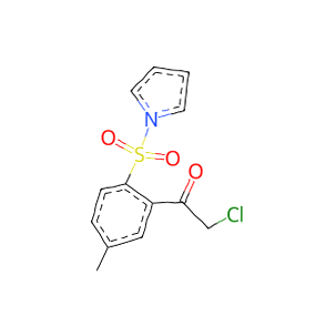 Cc1ccc(S(=O)(=O)n2cccc2)c(C(=O)CCl)c1